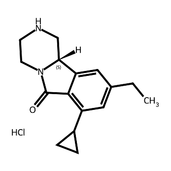 CCc1cc(C2CC2)c2c(c1)[C@H]1CNCCN1C2=O.Cl